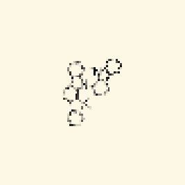 Cn1c2ccccc2c2cccc(-n3c4ccccc4c4ccc5c(c43)C(C)(C)c3ccccc3-5)c21